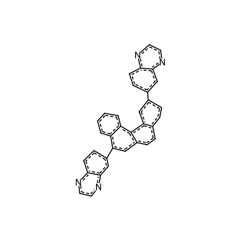 c1ccc2c(c1)c(-c1ccc3nccnc3c1)cc1ccc3ccc(-c4ccc5nccnc5c4)cc3c12